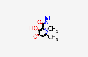 Cc1cc(=O)c(O)c(C(=O)N=N)n1C